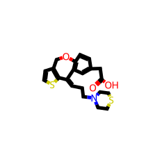 O=C(O)Cc1ccc2c(c1)/C(=C\CCN1CCSCC1)c1sccc1CO2